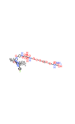 CC(C)(C)c1cc(-c2ccc(F)cc2)nn2cc(C(=O)N3CCN(C(=O)C4CCC(NC(=O)C(O)C(O)C(O)C(O)C(=O)NCCOCCOCCOCCOCCOCCOCCC(=O)NC(CC(=O)O)C(N)=O)CC4)CC3(C)C)nc12